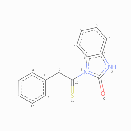 O=c1[nH]c2ccccc2n1C(=S)Cc1ccccc1